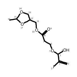 C=C(I)C(O)OCCC(=O)OCC1COC(C)O1